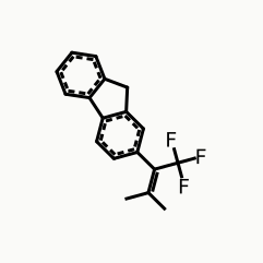 CC(C)=C(c1ccc2c(c1)Cc1ccccc1-2)C(F)(F)F